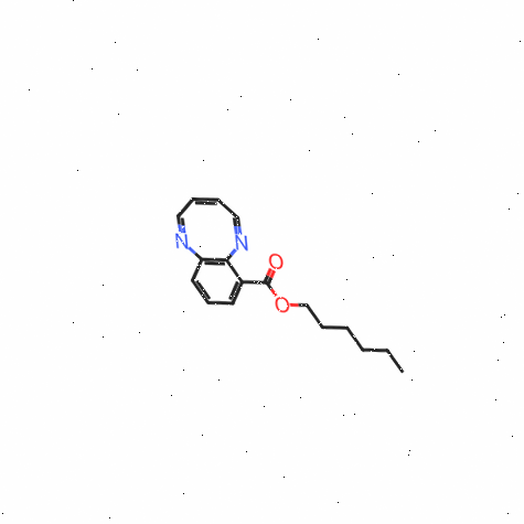 CCCCCCOC(=O)c1cccc2c1N=CC=CC=N2